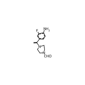 C=C(c1ccc(N)c(F)c1)N1CCN(C=O)CC1